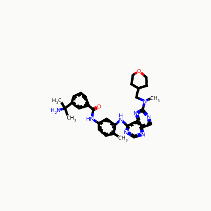 Cc1ccc(NC(=O)c2cccc(C(C)(C)N)c2)cc1Nc1ncnc2cnc(N(C)CC3CCOCC3)nc12